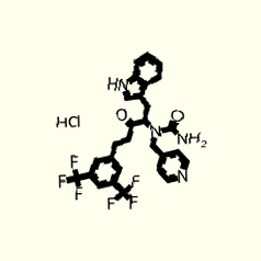 Cl.NC(=O)N(Cc1ccncc1)C(Cc1c[nH]c2ccccc12)C(=O)CCc1cc(C(F)(F)F)cc(C(F)(F)F)c1